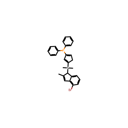 CC1=Cc2c(Br)cccc2C1[Si](C)(C)C1=CC(P(c2ccccc2)c2ccccc2)=CC1